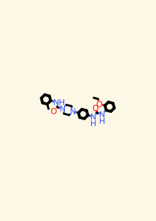 CCOc1ccccc1NC(=O)Nc1ccc(N2CCN(C(=O)Nc3ccccc3C)CC2)cc1